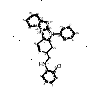 Clc1ccccc1NCC1C=Cc2c(n(-c3ccccc3)c3nc4ccccc4n23)C1